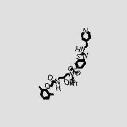 Cc1cccc(C)c1OCC(=O)NC[C@H](O)CN(CC(C)C)S(=O)(=O)c1ccc2nc(NCc3ccncc3)sc2c1